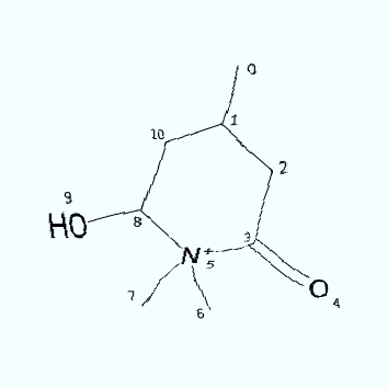 CC1CC(=O)[N+](C)(C)C(O)C1